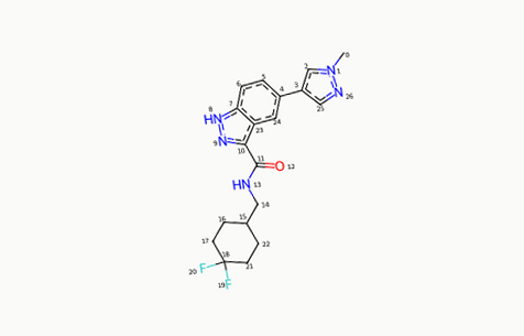 Cn1cc(-c2ccc3[nH]nc(C(=O)NCC4CCC(F)(F)CC4)c3c2)cn1